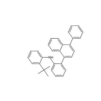 CC(C)(C)c1ccccc1Nc1ccccc1-c1ccc(-c2ccccc2)c2ccccc12